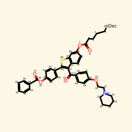 CCCCCCCCCCCCCCC(=O)Oc1ccc2c(C(=O)c3ccc(OCCN4CCCCC4)cc3)c(-c3ccc(OC(=O)c4ccccc4)cc3)sc2c1